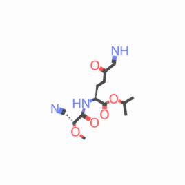 CO[C@H](C#N)C(=O)N[C@@H](CCC(=O)C=N)C(=O)OC(C)C